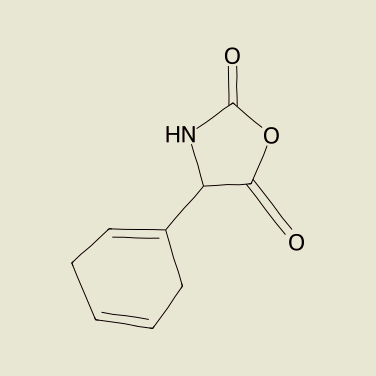 O=C1NC(C2=CCC=CC2)C(=O)O1